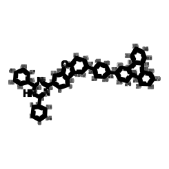 c1ccc(C2=NC(c3ccc4c(c3)oc3ccc(-c5ccc(-c6ccc7c8ccccc8c8ccccc8c7c6)cc5)cc34)=NC(c3ccccc3)N2)cc1